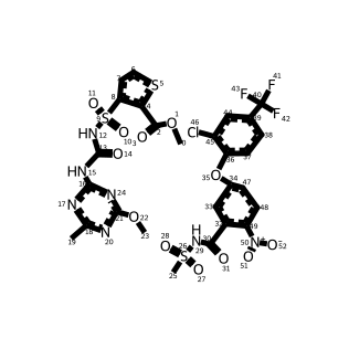 COC(=O)c1sccc1S(=O)(=O)NC(=O)Nc1nc(C)nc(OC)n1.CS(=O)(=O)NC(=O)c1cc(Oc2ccc(C(F)(F)F)cc2Cl)ccc1[N+](=O)[O-]